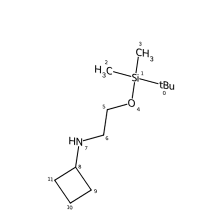 CC(C)(C)[Si](C)(C)OCCNC1CCC1